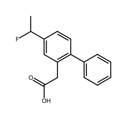 CC(F)c1ccc(-c2ccccc2)c(CC(=O)O)c1